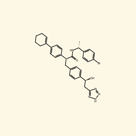 C[C@@H](NC(=O)N(Cc1ccc([C@@H](O)Cc2nn[nH]n2)cc1)c1ccc(C2=CCCCC2)cc1)c1ccc(Br)cc1